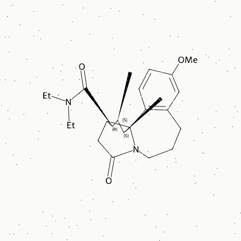 CCN(CC)C(=O)[C@H]1C2CC(=O)N3CCCc4cc(OC)ccc4C23[C@@H](C)[C@@H]1C